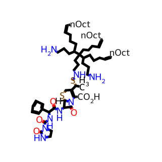 CCCCCCCC/C=C\CCCC(CCCN)C(CCC/C=C\CCCCCCCC)(CCCNSC(C)C1=C(C(=O)O)N2C(=O)C(NC(=O)C(NC(=O)N3CCNC3=O)c3ccccc3)[C@@H]2SC1)C(CCCN)CCC/C=C\CCCCCCCC